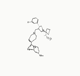 CC(C(=O)O)C1(N2CC(CN3CCC(c4cnc5cc(C(C)(C)C)ccn45)CC3)C(c3cccc(F)c3)C2)CCC1